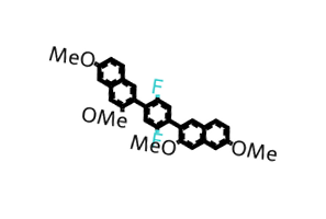 COc1ccc2cc(-c3cc(F)c(-c4cc5ccc(OC)cc5cc4OC)cc3F)c(OC)cc2c1